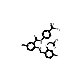 N=C(N)c1ccc(NC(=O)c2cc(Cl)ccc2NCc2ccc(F)cc2OCC(=O)O)cc1